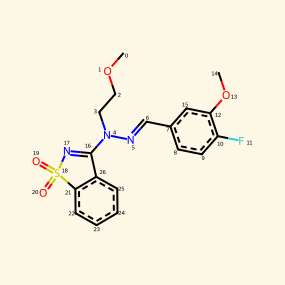 COCCN(/N=C/c1ccc(F)c(OC)c1)C1=NS(=O)(=O)c2ccccc21